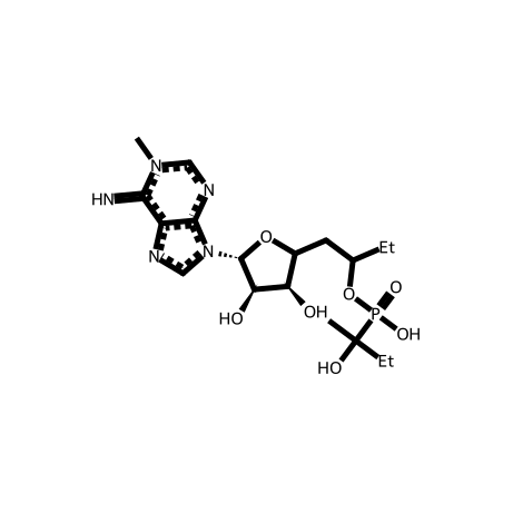 CCC(CC1O[C@@H](n2cnc3c(=N)n(C)cnc32)[C@H](O)[C@@H]1O)OP(=O)(O)C(C)(O)CC